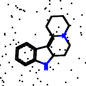 c1ccc2c(c1)NC1CCN3CCCCC3=C21